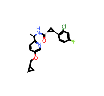 C[C@@H](NC(=O)[C@@H]1C[C@H]1c1ccc(F)cc1Cl)c1ccc(OCC2CC2)cn1